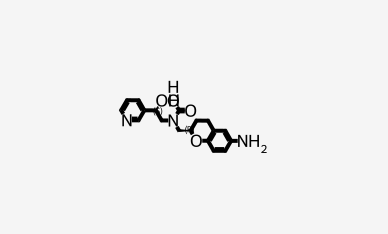 Nc1ccc2c(c1)CC[C@H](CN(C[C@@H](O)c1cccnc1)C(=O)O)O2